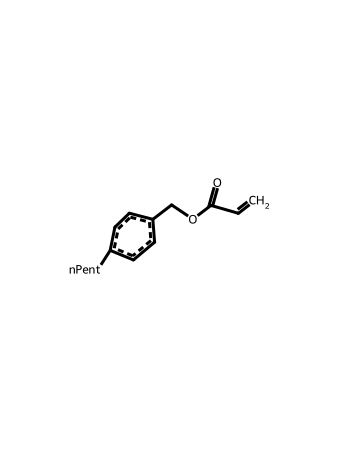 C=CC(=O)OCc1ccc(CCCCC)cc1